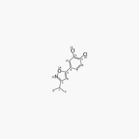 CC(C)c1cc(-c2ccc(Cl)c(Cl)c2)on1